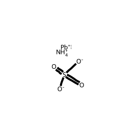 O=S(=O)([O-])[O-].[NH4+].[Pb+]